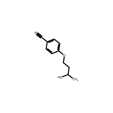 CC(O)CCOc1ccc(C#N)cc1